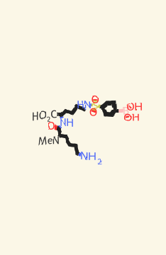 CNC(CCCCN)C(=O)NC(CCCCNS(=O)(=O)c1ccc(B(O)O)cc1)C(=O)O